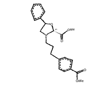 COC(=O)c1ccc(CCCN2CC(c3ccccc3)O[C@@H]2C(=O)OC)cc1